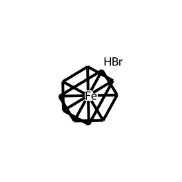 Br.[CH]12[CH]3[CH]4[CH]5[CH]1[Fe]23451678[CH]2[CH]1[CH]6[CH]7[CH]28